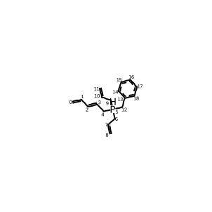 C=CC=CC[PH](CC=C)(CC=C)Cc1ccccc1